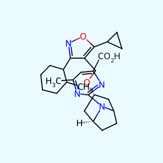 Cc1cc(C(=O)O)nc(N2C3CC[C@H]2C[C@H](OCc2c(C4CCCCC4C)noc2C2CC2)C3)n1